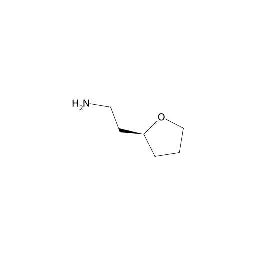 NCC[C@@H]1CCCO1